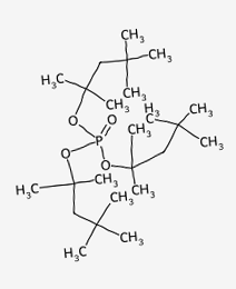 CC(C)(C)CC(C)(C)OP(=O)(OC(C)(C)CC(C)(C)C)OC(C)(C)CC(C)(C)C